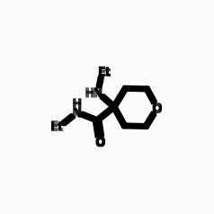 CCNC(=O)C1(NCC)CCOCC1